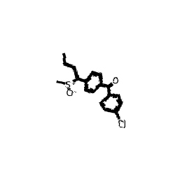 CCCC(c1ccc(C(=O)c2ccc(Cl)cc2)cc1)[S+](C)[O-]